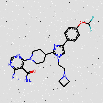 NC(=O)c1c(N)ncnc1N1CCC(c2nc(-c3ccc(OC(F)F)cc3)cn2CCN2CCC2)CC1